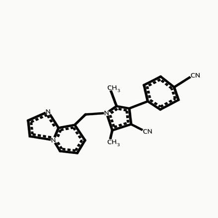 Cc1c(C#N)c(-c2ccc(C#N)cc2)c(C)n1Cc1cccn2ccnc12